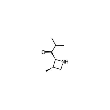 CC(C)C(=O)[C@H]1NC[C@H]1C